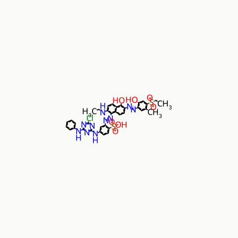 CCNc1ccc2c(O)c(/N=N/c3cc(C)c(S(=O)(=O)CC)cc3O)ccc2c1/N=N/c1cc(Nc2nc(Cl)nc(Nc3ccccc3)n2)ccc1S(=O)(=O)O